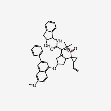 C=CC1CC1(C(=O)O)C1CC(Oc2cc(-c3ccccc3)cc3cc(OC)ccc23)CN1C(C(=O)NC1c2ccccc2CC1O)C(C)(C)C